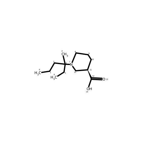 CCCC(C)(CC)N1CCC[C@@H](C(=O)O)C1